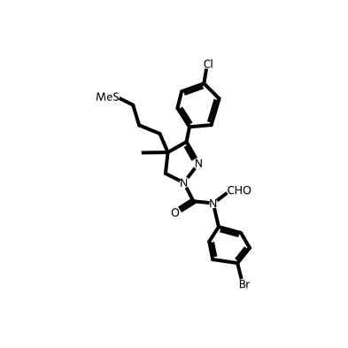 CSCCCC1(C)CN(C(=O)N(C=O)c2ccc(Br)cc2)N=C1c1ccc(Cl)cc1